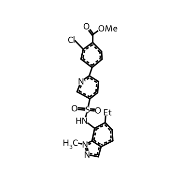 CCc1ccc2cnn(C)c2c1NS(=O)(=O)c1ccc(-c2ccc(C(=O)OC)c(Cl)c2)nc1